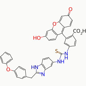 O=C(O)c1ccc(NC(=S)Nc2ccc3[nH]c(Cc4ccc(Oc5ccccc5)cc4)nc3c2)cc1-c1c2ccc(=O)cc-2oc2cc(O)ccc12